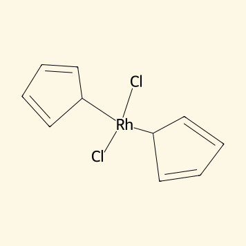 [Cl][Rh]([Cl])([CH]1C=CC=C1)[CH]1C=CC=C1